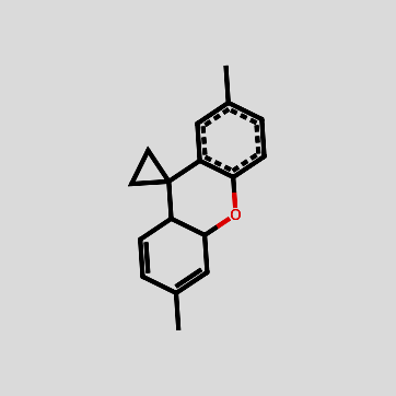 CC1=CC2Oc3ccc(C)cc3C3(CC3)C2C=C1